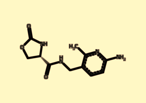 Cc1nc(N)ccc1CNC(=O)[C@@H]1COC(=O)N1